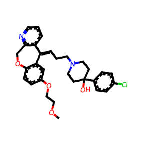 COCCOc1ccc2c(c1)C(=CCCN1CCC(O)(c3ccc(Cl)cc3)CC1)c1cccnc1CO2